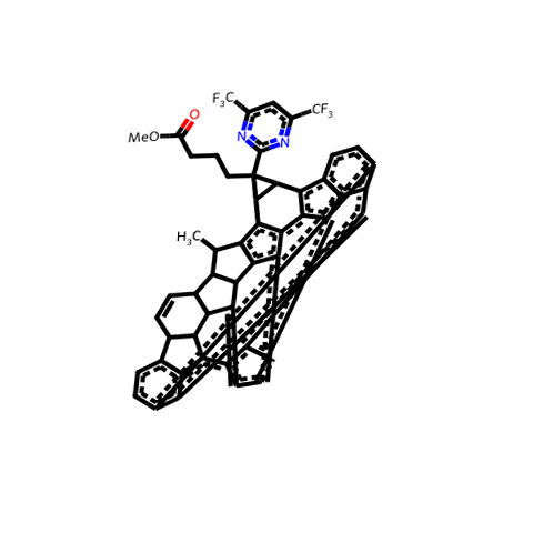 COC(=O)CCCC1(c2nc(C(F)(F)F)cc(C(F)(F)F)n2)C2c3c4c5c6c3c3c(c7ccc8c9ccc%10c%11c%12c%13c(c6c6c%13c(c%119)c8c7c36)=C3C5C(C4C)C4C=CC%10C%12C34)C21